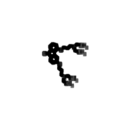 CCN(CC)CCCOc1ccc2c(c1)-c1c(OCCCN(CC)CC)cccc1C2=O